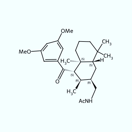 COc1cc(OC)cc(C(=O)[C@H]2[C@H](C)[C@H](CNC(C)=O)C[C@H]3C(C)(C)CCC[C@]23C)c1